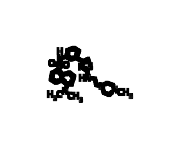 CN1CCN(CCNc2nc(-c3cccc(NS(=O)(=O)c4cccc5c(N(C)C)cccc45)c3)cs2)CC1